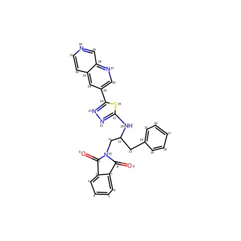 O=C1c2ccccc2C(=O)N1CC(Cc1ccccc1)Nc1nnc(-c2cnc3cnccc3c2)s1